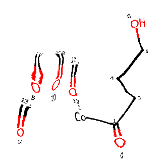 O=[C]([Co])CCCO.[C]=O.[C]=O.[C]=O.[C]=O